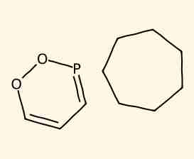 C1=COOP=C1.C1CCCCCC1